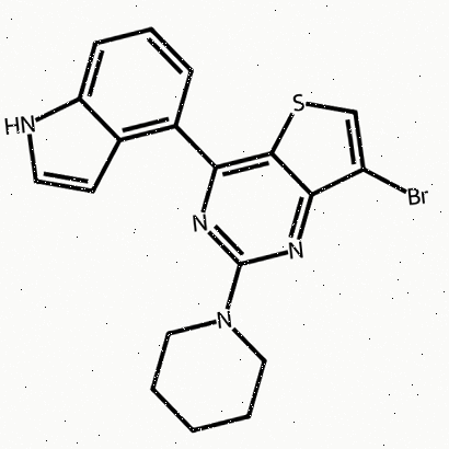 Brc1csc2c(-c3cccc4[nH]ccc34)nc(N3CCCCC3)nc12